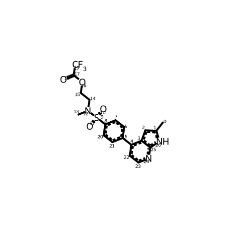 Cc1cc2c(-c3ccc(S(=O)(=O)N(C)CCOC(=O)C(F)(F)F)cc3)ccnc2[nH]1